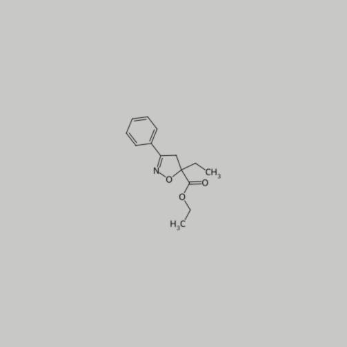 CCOC(=O)C1(CC)CC(c2ccccc2)=NO1